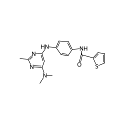 Cc1nc(Nc2ccc(NC(=O)c3cccs3)cc2)cc(N(C)C)n1